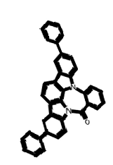 O=c1c2ccccc2n2c3ccc(-c4ccccc4)cc3c3ccc4c5c(n1c4c32)C=CC(c1ccccc1)C5